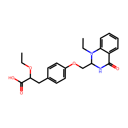 CCOC(Cc1ccc(OCC2NC(=O)c3ccccc3N2CC)cc1)C(=O)O